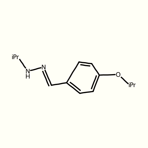 CC(C)N/N=C/c1ccc(OC(C)C)cc1